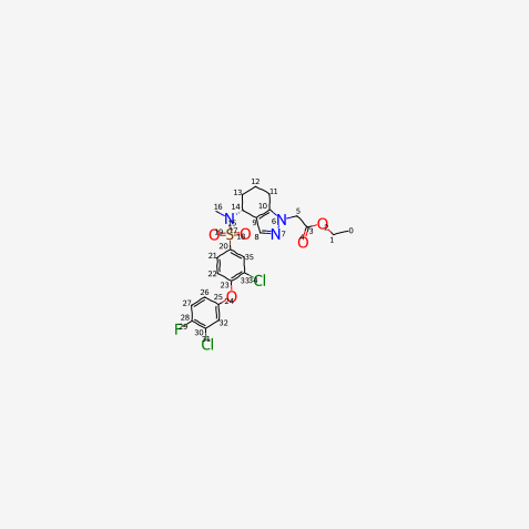 CCOC(=O)Cn1ncc2c1CCC[C@H]2N(C)S(=O)(=O)c1ccc(Oc2ccc(F)c(Cl)c2)c(Cl)c1